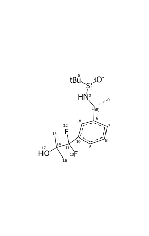 C[C@@H](N[S+]([O-])C(C)(C)C)c1cccc(C(F)(F)C(C)(C)O)c1